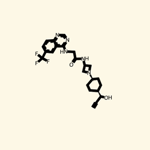 C#CC(O)[C@H]1CC[C@@H](N2CC(NC(=O)CNc3ncnc4ccc(C(F)(F)F)cc34)C2)CC1